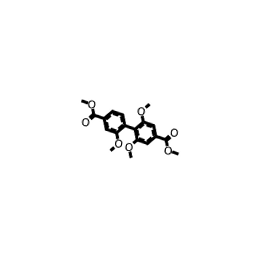 COC(=O)c1ccc(-c2c(OC)cc(C(=O)OC)cc2OC)c(OC)c1